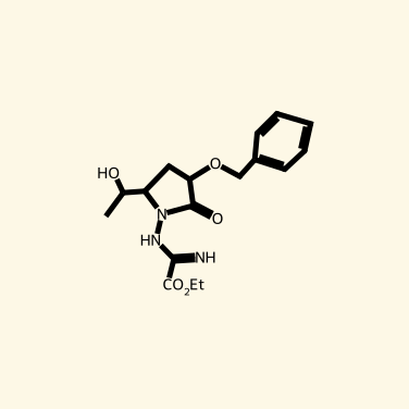 CCOC(=O)C(=N)NN1C(=O)C(OCc2ccccc2)CC1C(C)O